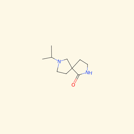 CC(C)N1CCC2(CCNC2=O)C1